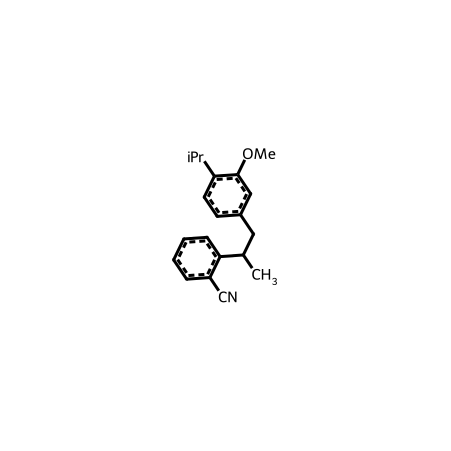 COc1cc(CC(C)c2ccccc2C#N)ccc1C(C)C